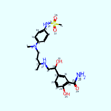 CC(CCN(C)c1ccc(NS(C)(=O)=O)cc1)NCC(O)c1ccc(O)c(C(N)=O)c1